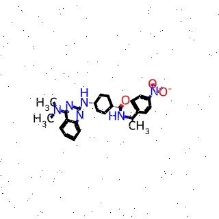 C[C@H](NC(=O)[C@H]1CC[C@@H](Nc2nc(N(C)C)c3ccccc3n2)CC1)c1ccc([N+](=O)[O-])cc1